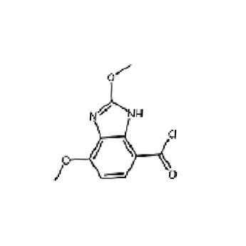 COc1nc2c(OC)ccc(C(=O)Cl)c2[nH]1